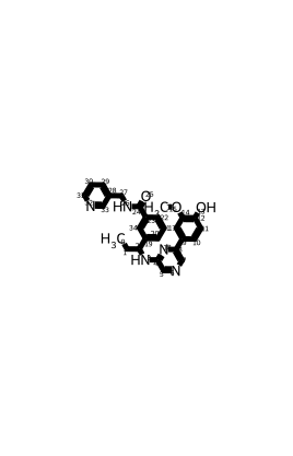 CCC(Nc1cncc(-c2ccc(O)c(OC)c2)n1)c1cccc(C(=O)NCc2cccnc2)c1